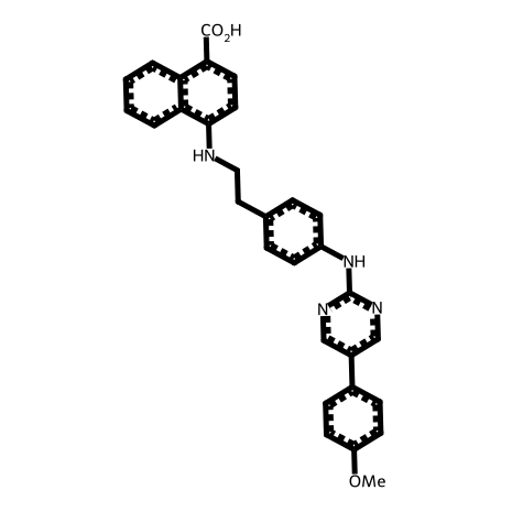 COc1ccc(-c2cnc(Nc3ccc(CCNc4ccc(C(=O)O)c5ccccc45)cc3)nc2)cc1